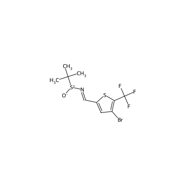 CC(C)(C)[S+]([O-])N=Cc1cc(Br)c(C(F)(F)F)s1